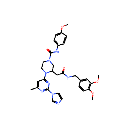 COc1ccc(NC(=O)N2CCN(c3cc(C)nc(-n4ccnc4)n3)C(CC(=O)NCc3ccc(OC)c(OC)c3)C2)cc1